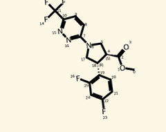 COC(=O)[C@@H]1CN(c2ccc(C(F)(F)F)nn2)C[C@H]1c1ccc(F)cc1F